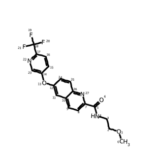 COCCNC(=O)c1ccc2cc(Oc3ccc(C(F)(F)F)nc3)ccc2n1